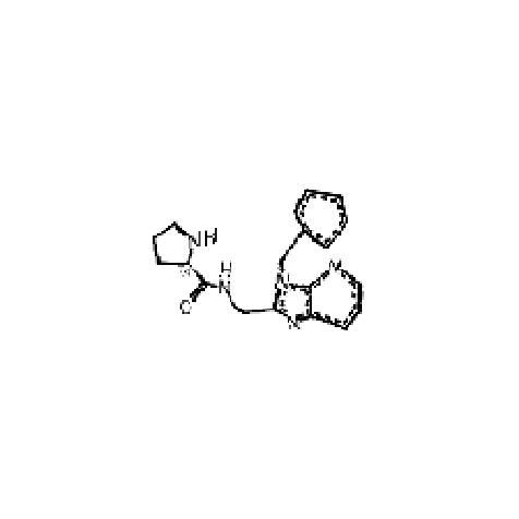 O=C(NCc1nc2cccnc2n1Cc1ccccc1)[C@H]1CCCN1